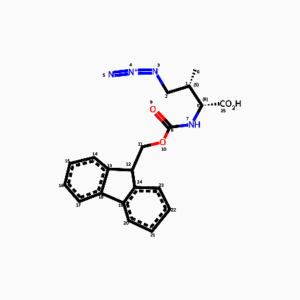 C[C@@H](CN=[N+]=[N-])[C@@H](NC(=O)OCC1c2ccccc2-c2ccccc21)C(=O)O